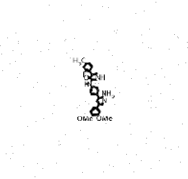 COc1ccc(-c2cnc(N)c(-c3ccc(N(F)c4c[nH]cc(-c5ccc(C)cc5F)c4=O)cc3)c2)cc1OC